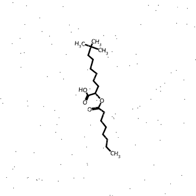 CCCCCCCC(=O)OC(CCCCCCC(C)(C)C)C(=O)O